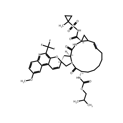 COc1ccc2nc(C(F)(F)F)c3c(c2c1)C=C[C@@]1(C[C@H]2C(=O)N[C@]4(C(=O)NS(=O)(=O)C5(C)CC5)CC4/C=C/CCCCC[C@H](NC(=O)OCC(C)C)C(=O)N2C1)O3